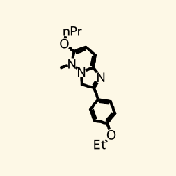 CCCOC1=CC=C2N=C(c3ccc(OCC)cc3)CN2N1C